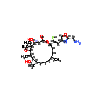 CC1CCC[C@H](C)[C@H](O)[C@@H](C)C(=O)C(C)(C)/C(O)=C/C(=O)O[C@H](C(F)=Cc2coc(CN)n2)CC1